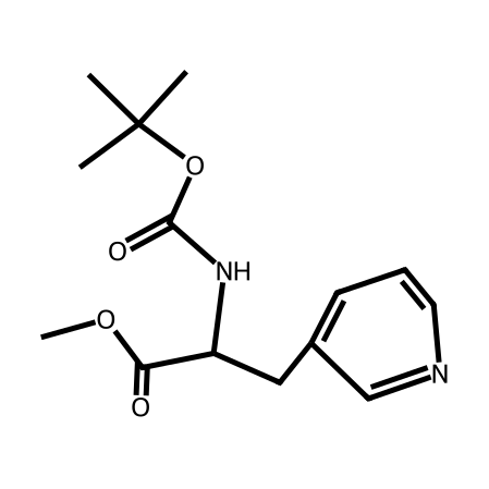 COC(=O)C(Cc1cccnc1)NC(=O)OC(C)(C)C